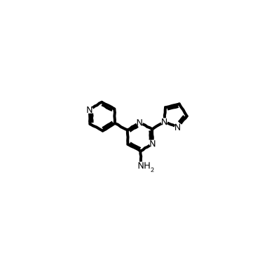 Nc1cc(-c2ccncc2)nc(-n2cccn2)n1